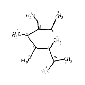 CCC(N)C(C)C(C)C(C)C(C)C